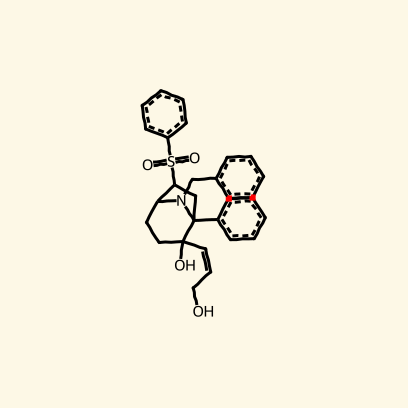 O=S(=O)(c1ccccc1)C1CC2(c3ccccc3)N(Cc3ccccc3)C1CCC2(O)/C=C\CO